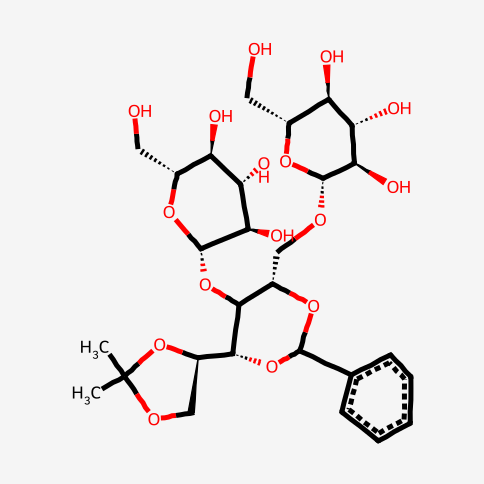 CC1(C)OC[C@H]([C@H]2OC(c3ccccc3)O[C@@H](CO[C@@H]3O[C@H](CO)[C@@H](O)[C@H](O)[C@H]3O)C2O[C@@H]2O[C@H](CO)[C@@H](O)[C@H](O)[C@H]2O)O1